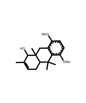 COc1ccc(OC)c2c1CC1(C)C(O)C(C)=CCC1C2(C)C